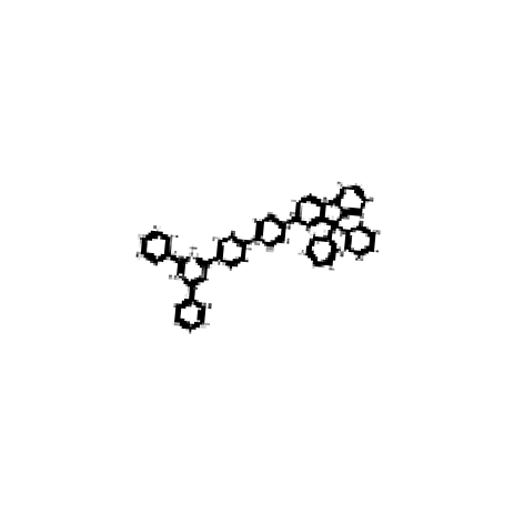 c1ccc(-c2cc(-c3ccc(-c4ccc(-c5ccc6c(c5)C(c5ccccc5)(c5ccccc5)c5ccccc5-6)cc4)cc3)nc(-c3ccccc3)n2)cc1